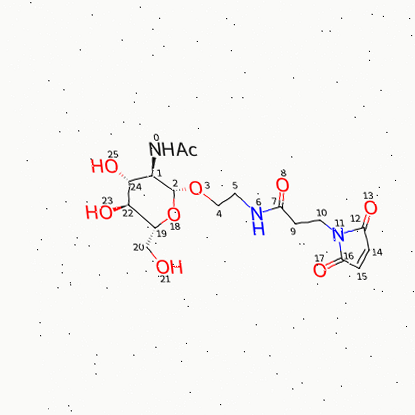 CC(=O)N[C@H]1[C@H](OCCNC(=O)CCN2C(=O)C=CC2=O)O[C@H](CO)[C@@H](O)[C@@H]1O